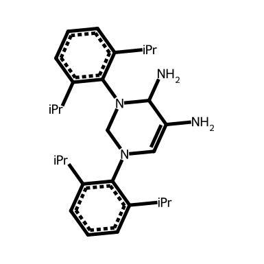 CC(C)c1cccc(C(C)C)c1N1C=C(N)C(N)N(c2c(C(C)C)cccc2C(C)C)C1